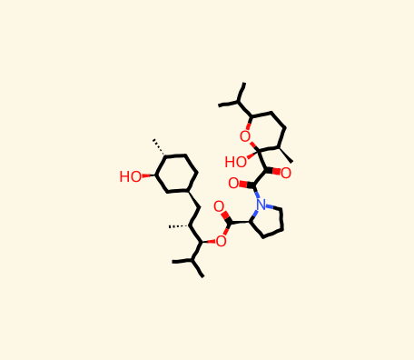 CC(C)C1CC[C@@H](C)[C@](O)(C(=O)C(=O)N2CCC[C@H]2C(=O)O[C@@H](C(C)C)[C@H](C)C[C@@H]2CC[C@@H](C)[C@H](O)C2)O1